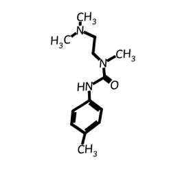 Cc1ccc(NC(=O)N(C)CCN(C)C)cc1